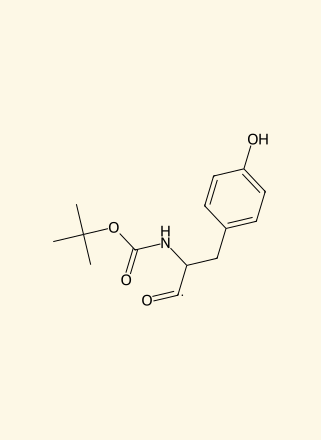 CC(C)(C)OC(=O)NC([C]=O)Cc1ccc(O)cc1